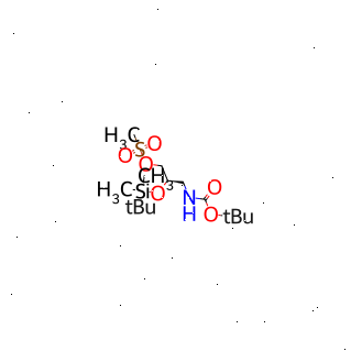 CC(C)(C)OC(=O)NC[C@H](COS(C)(=O)=O)O[Si](C)(C)C(C)(C)C